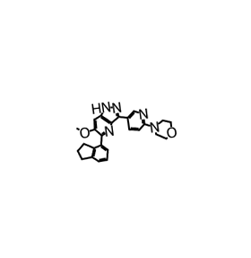 COc1cc2[nH]nc(-c3ccc(N4CCOCC4)nc3)c2nc1-c1cccc2c1CCC2